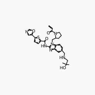 C=CC(=O)N1CCCC1Cn1c(NC(=O)c2ccc(-c3cnco3)s2)nc2cc(CNCC(C)(C)O)ccc21